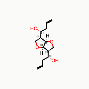 C=CC[C@@H](O)[C@@H]1CO[C@@H]2[C@H]([C@H](O)CC=C)CO[C@H]12